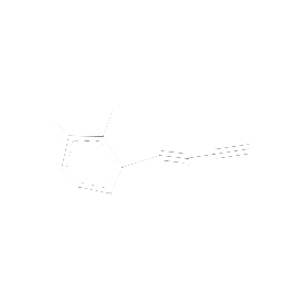 C#CC#Cc1cccc(C)c1C